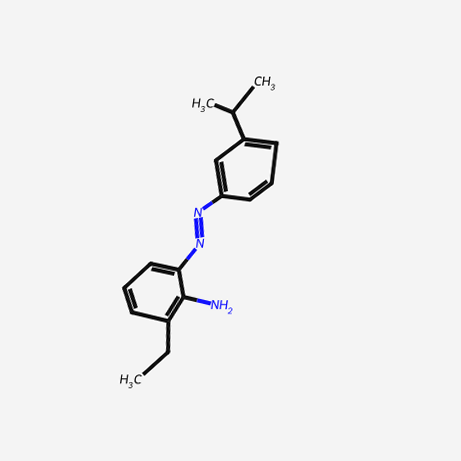 CCc1cccc(N=Nc2cccc(C(C)C)c2)c1N